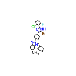 Cc1ccc2nc(-c3ccc(-c4nc(-c5c(F)cccc5Cl)[nH]c4Br)cc3)n(Cc3ccccc3)c2c1